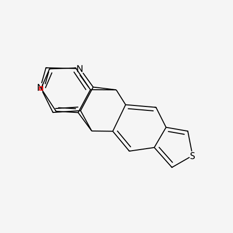 c1ccc2c(c1)C1c3cc4cscc4cc3C2c2ncncc21